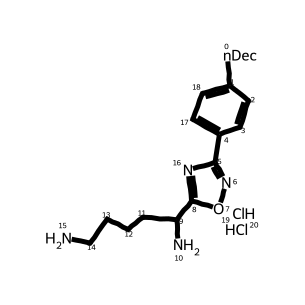 CCCCCCCCCCc1ccc(-c2noc(C(N)CCCCN)n2)cc1.Cl.Cl